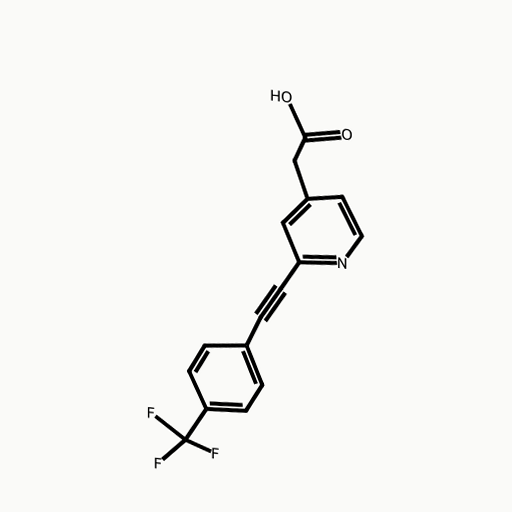 O=C(O)Cc1ccnc(C#Cc2ccc(C(F)(F)F)cc2)c1